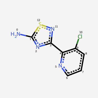 Nc1nc(-c2ncccc2Cl)ns1